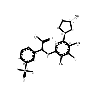 CCc1c(C#N)c(SC(C(N)=O)c2cccc(P(C)(C)=O)c2)nc(N2CC[C@H](O)C2)c1C#N